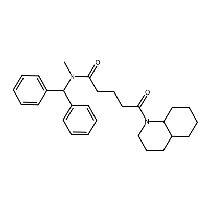 CN(C(=O)CCCC(=O)N1CCCC2CCCCC21)C(c1ccccc1)c1ccccc1